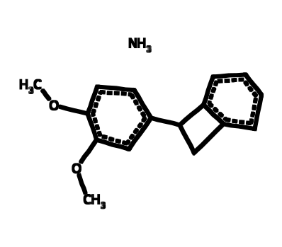 COc1ccc(C2Cc3ccccc32)cc1OC.N